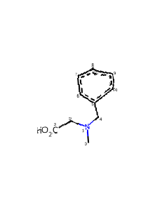 CN(CC(=O)O)Cc1ccccc1